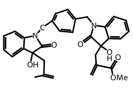 C=C(C)CC1(O)C(=O)N(Cc2ccc(CN3C(=O)C(O)(CC(=C)C(=O)OC)c4ccccc43)cc2)c2ccccc21